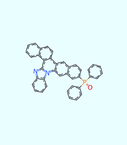 O=P(c1ccccc1)(c1ccccc1)c1ccc2cc3c4ccc5ccccc5c4c4nc5ccccc5n4c3cc2c1